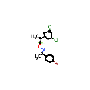 C=C(c1cc(Cl)cc(Cl)c1)C(F)(F)O/N=C(\C)c1ccc(Br)cc1